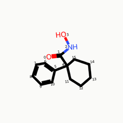 O=C(NO)C1(c2ccccc2)CCCCC1